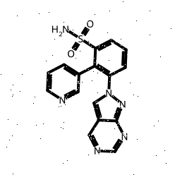 NS(=O)(=O)c1cccc(-n2cc3cncnc3n2)c1-c1cccnc1